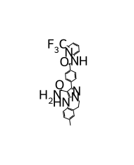 Cc1ccc2c(c1)CCn1nc(-c3ccc(C(=O)Nc4cccc(C(F)(F)F)n4)cc3)c(C(N)=O)c1N2